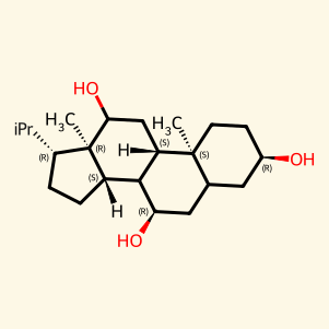 CC(C)[C@H]1CC[C@H]2C3[C@H](O)CC4C[C@H](O)CC[C@]4(C)[C@H]3CC(O)[C@]12C